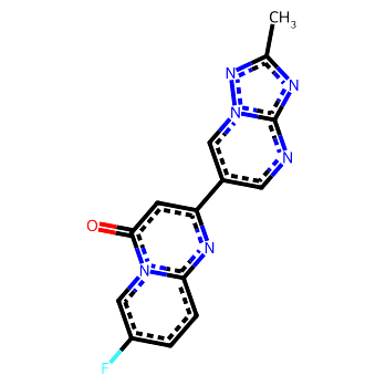 Cc1nc2ncc(-c3cc(=O)n4cc(F)ccc4n3)cn2n1